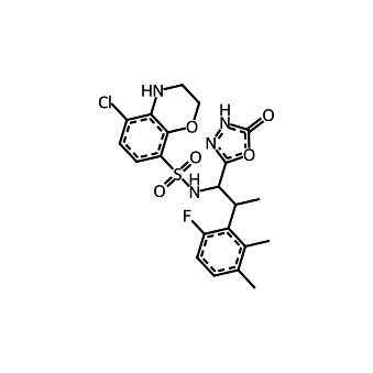 Cc1ccc(F)c(C(C)C(NS(=O)(=O)c2ccc(Cl)c3c2OCCN3)c2n[nH]c(=O)o2)c1C